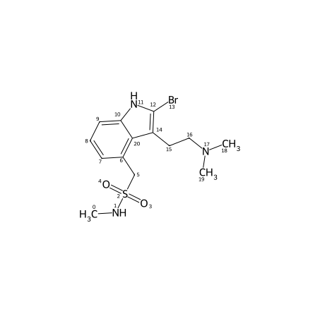 CNS(=O)(=O)Cc1cccc2[nH]c(Br)c(CCN(C)C)c12